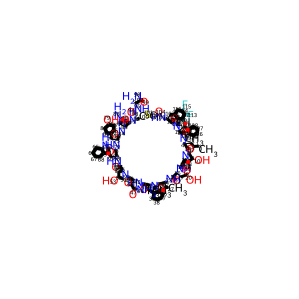 CCCC[C@H]1C(=O)N2C[C@H](O)C[C@@H]2C(=O)N[C@@H](CC(=O)O)C(=O)N[C@@H](C(C)C)C(=O)N(C)[C@@H](Cc2ccccc2)C(=O)N[C@@H](CC(N)=O)C(=O)N2C[C@H](O)C[C@H]2C(=O)N[C@@H](Cc2c[nH]c3ccccc23)C(=O)N[C@@H](Cc2ccc(O)cc2)C(=O)N[C@@H](CCN)C(=O)N[C@H](C(=O)NCC(N)=O)CSCC(=O)N[C@@H](Cc2cc(F)c(F)c(F)c2)C(=O)N(C)[C@@H](Cc2ccccc2)C(=O)N1C